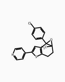 CC12CCc3sc(-c4ccncc4)cc3C1(c1ccc(Cl)cc1)O2